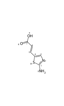 Nc1ncc(C=CC(=O)O)s1